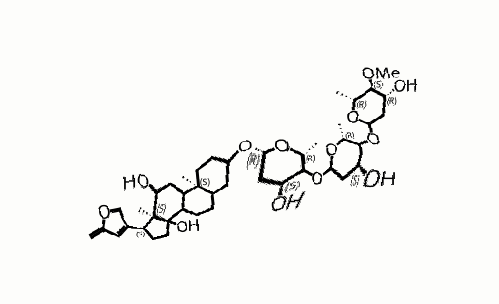 C=C1C=C([C@@H]2CCC3(O)C4CCC5CC(O[C@H]6C[C@H](O)C(OC7C[C@H](O)C(OC8C[C@@H](O)[C@H](OC)[C@@H](C)O8)[C@@H](C)O7)[C@@H](C)O6)CC[C@]5(C)C4CC(O)[C@]23C)CO1